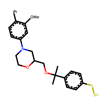 COc1cc(N2CCOC(COC(C)(C)c3ccc(SS)cc3)C2)ccc1C(C)C